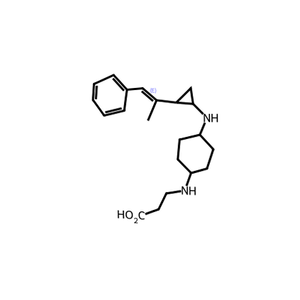 C/C(=C\c1ccccc1)C1CC1NC1CCC(NCCC(=O)O)CC1